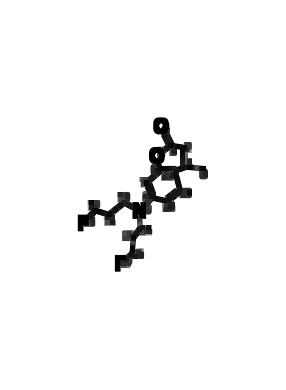 Cc1cc(=O)oc2cc(N(CCCF)CCCF)ccc12